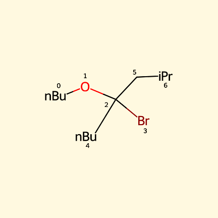 CCCCOC(Br)(CCCC)CC(C)C